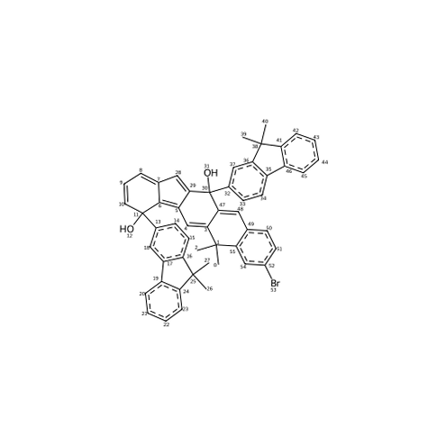 CC1(C)C2=CC3=C4C(=CC=CC4(O)c4ccc5c(c4)-c4ccccc4C5(C)C)C=C3C(O)(c3ccc4c(c3)C(C)(C)c3ccccc3-4)C2=Cc2ccc(Br)cc21